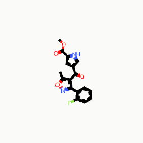 COC(=O)c1cc(C(=O)c2c(-c3ccccc3F)noc2C)c[nH]1